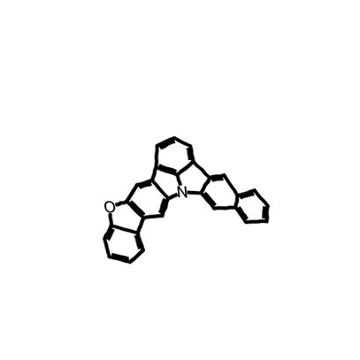 c1ccc2cc3c(cc2c1)c1cccc2c4cc5oc6ccccc6c5cc4n3c12